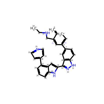 C=C/C(=C\C(=C/C)c1ccc2[nH]nc(-c3cc4c(-c5ccncc5)cccc4[nH]3)c2c1)CNCC